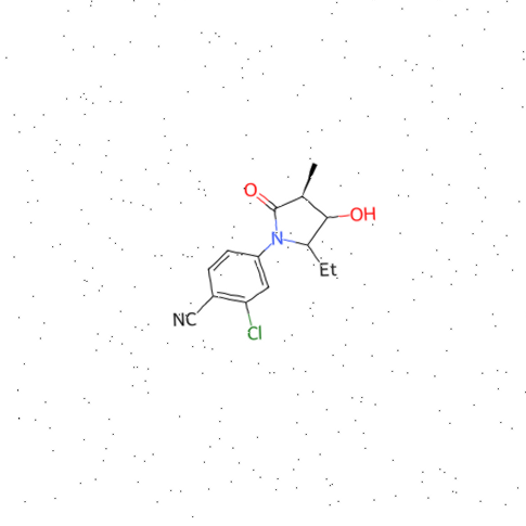 CCC1C(O)[C@H](C)C(=O)N1c1ccc(C#N)c(Cl)c1